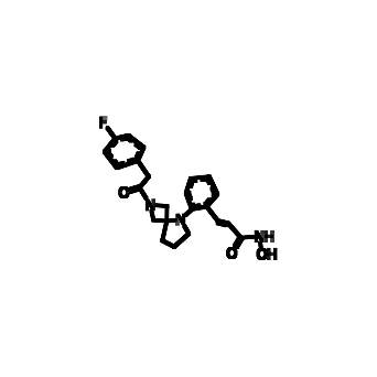 O=C(/C=C/c1ccccc1N1CCCC12CN(C(=O)Cc1ccc(F)cc1)C2)NO